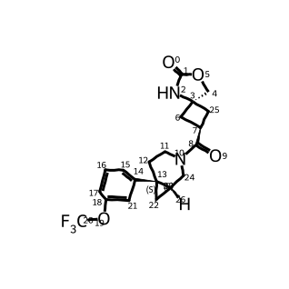 O=C1N[C@]2(CO1)C[C@H](C(=O)N1CC[C@@]3(c4cccc(OC(F)(F)F)c4)C[C@H]3C1)C2